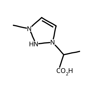 CC(C(=O)O)N1C=CN(C)N1